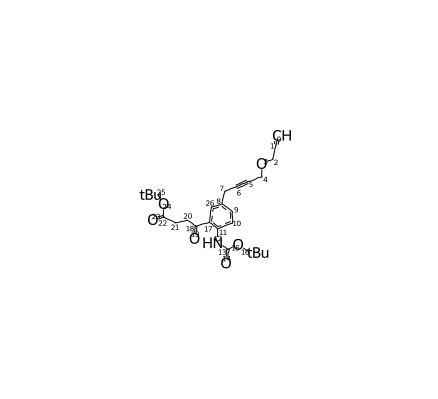 C#CCOCC#CCc1ccc(NC(=O)OC(C)(C)C)c(C(=O)CCC(=O)OC(C)(C)C)c1